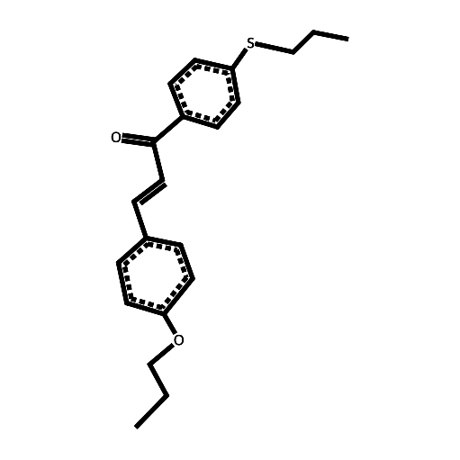 CCCOc1ccc(C=CC(=O)c2ccc(SCCC)cc2)cc1